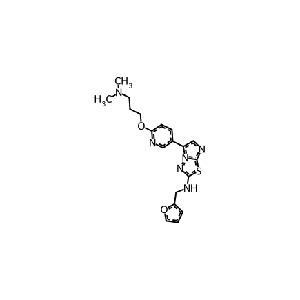 CN(C)CCCOc1ccc(-c2cnc3sc(NCc4ccco4)nn23)cn1